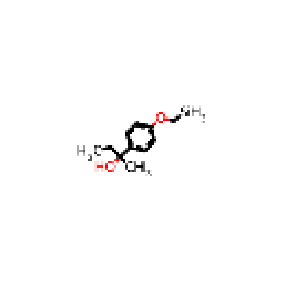 CCC(C)(O)c1ccc(OC[SiH3])cc1